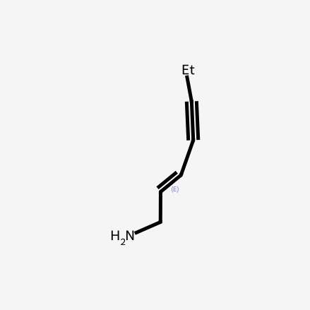 CCC#C/C=C/CN